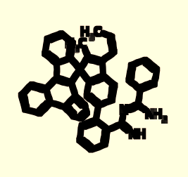 C/C=C\C1=C(C)C2(c3cc(-c4ccccc4C(=N)/N=C(\N)c4ccccc4)ccc31)c1ccccc1-c1c2c2ccccc2c2ccccc12